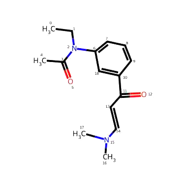 CCN(C(C)=O)c1cccc(C(=O)C=CN(C)C)c1